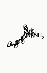 CC(C)=CC(=O)CCC(=O)N1CCC(CC(=O)N2CCN(c3nc(-c4cnc(N)nc4C(F)F)nc(N4CCOCC4)n3)CC2)CC1